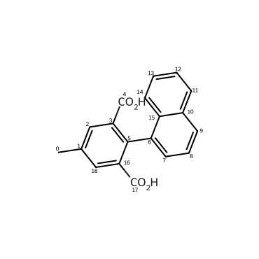 Cc1cc(C(=O)O)c(-c2cccc3ccccc23)c(C(=O)O)c1